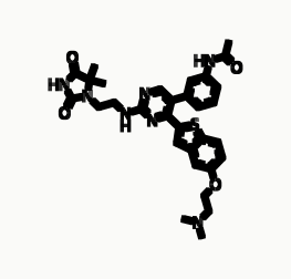 CC(=O)Nc1cccc(-c2cnc(NCCN3C(=O)NC(=O)C3(C)C)nc2-c2cc3cc(OCCN(C)C)ccc3s2)c1